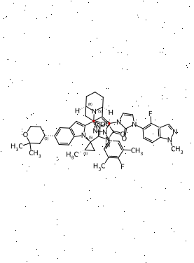 Cc1cc(-n2nc3c(c2-n2ccn(-c4ccc5c(cnn5C)c4F)c2=O)[C@@H]2CCC[C@H](C3)N2C(=O)c2cc3cc([C@H]4CCOC(C)(C)C4)ccc3n2[C@@]2(c3noc(=O)[nH]3)C[C@@H]2C)cc(C)c1F